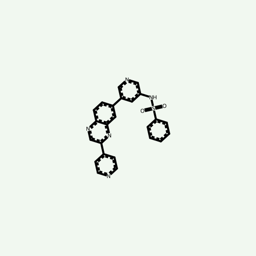 O=S(=O)(Nc1cncc(-c2ccc3ncc(-c4ccncc4)nc3c2)c1)c1ccccc1